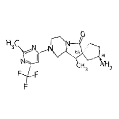 Cc1nc(N2CCN3C(=O)[C@]4(CC[C@@H](N)C4)C(C)C3C2)cc(C(F)(F)F)n1